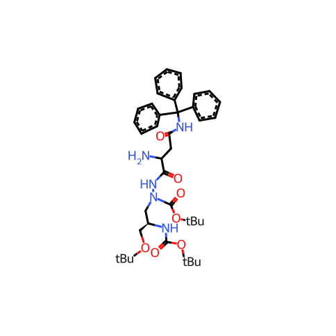 CC(C)(C)OC[C@@H](CN(NC(=O)C(N)CC(=O)NC(c1ccccc1)(c1ccccc1)c1ccccc1)C(=O)OC(C)(C)C)NC(=O)OC(C)(C)C